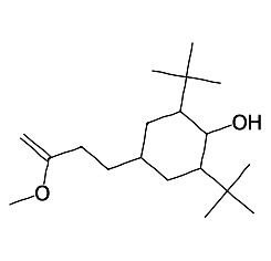 C=C(CCC1CC(C(C)(C)C)C(O)C(C(C)(C)C)C1)OC